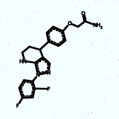 NC(=O)COc1ccc(C2CCNc3c2cnn3-c2ccc(F)cc2F)cc1